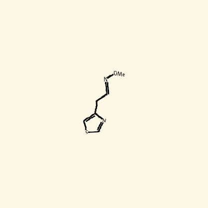 CON=CCc1cs[c]n1